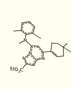 CCOC(=O)c1cc2nc(C3=CCC(C)(C)CC3)cc(N(C)c3c(C)cccc3C)n2n1